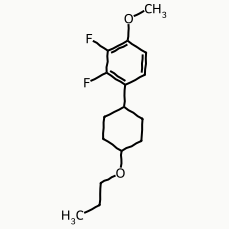 CCCOC1CCC(c2ccc(OC)c(F)c2F)CC1